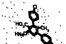 Cn1c(-c2ccc(Cl)cc2)cc(=O)c(C(=O)O)c1-c1ccc(Cl)cc1.[NaH]